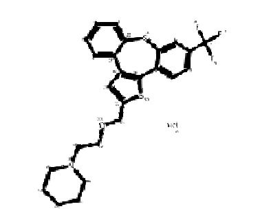 Cl.FC(F)(F)c1ccc2c(c1)Sc1ccccc1-c1cc(COCCN3CCCCC3)sc1-2